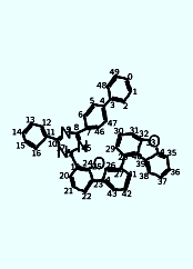 c1ccc(-c2ccc(-c3nc(-c4ccccc4)nc(-c4cccc5c4oc4c(-c6cccc7oc8ccccc8c67)cccc45)n3)cc2)cc1